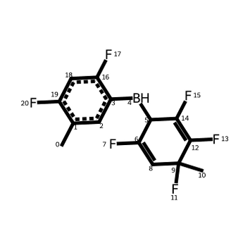 Cc1cc(BC2C(F)=CC(C)(F)C(F)=C2F)c(F)cc1F